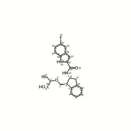 CC(C)(C)C(OC[C@@H]1c2ccccc2C[C@H]1NC(=O)c1cc2cc(F)ccc2[nH]1)C(=O)O